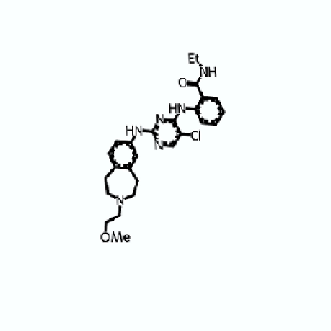 CCNC(=O)c1ccccc1Nc1nc(Nc2ccc3c(c2)CCN(CCOC)CC3)ncc1Cl